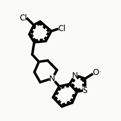 [O]c1nc2c(N3CCC(Cc4cc(Cl)cc(Cl)c4)CC3)cccc2s1